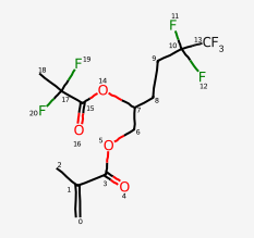 C=C(C)C(=O)OCC(CCC(F)(F)C(F)(F)F)OC(=O)C(C)(F)F